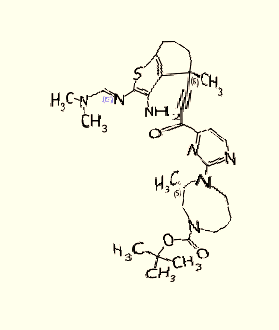 C[C@H]1CN(C(=O)OC(C)(C)C)CCCN1c1nccc(C(=O)C#C[C@@]2(C)CCCc3sc(/N=C/N(C)C)c(N)c32)n1